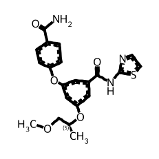 COC[C@H](C)Oc1cc(Oc2ccc(C(N)=O)cc2)cc(C(=O)Nc2nccs2)c1